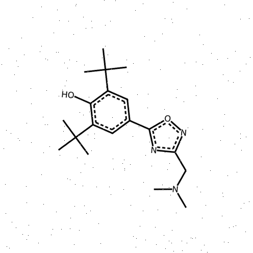 CN(C)Cc1noc(-c2cc(C(C)(C)C)c(O)c(C(C)(C)C)c2)n1